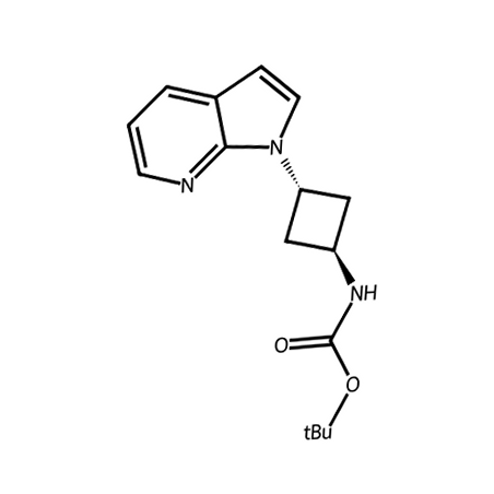 CC(C)(C)OC(=O)N[C@H]1C[C@H](n2ccc3cccnc32)C1